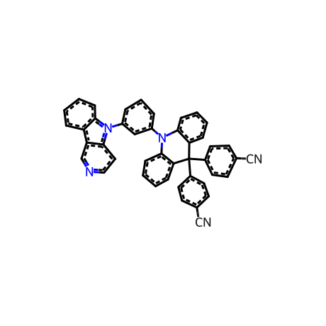 N#Cc1ccc(C2(c3ccc(C#N)cc3)c3ccccc3N(c3cccc(-n4c5ccccc5c5cnccc54)c3)c3ccccc32)cc1